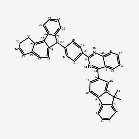 CC1(C)c2ccccc2-c2ccc(-c3nc(-c4ccc(-n5c6ccccc6c6c7c(ccc65)C=CCC7)cc4)nc4ccccc34)cc21